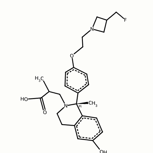 CC(CN1CCc2cc(O)ccc2[C@@]1(C)c1ccc(OCCN2CC(CF)C2)cc1)C(=O)O